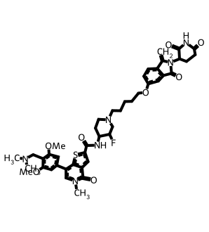 C=C1c2ccc(OCCCCCN3CCC(NC(=O)c4cc5c(=O)n(C)cc(-c6cc(OC)c(CN(C)C)c(OC)c6)c5s4)C(F)C3)cc2C(=O)N1C1CCC(=O)NC1=O